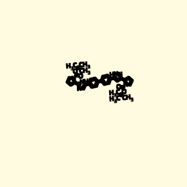 CC(C)(C)OC(=O)N1CCCC1c1cc(-c2ccc(-c3ccc(-c4cnc(C5CCCN5C(=O)OC(C)(C)C)[nH]4)cc3)cc2)[nH]n1